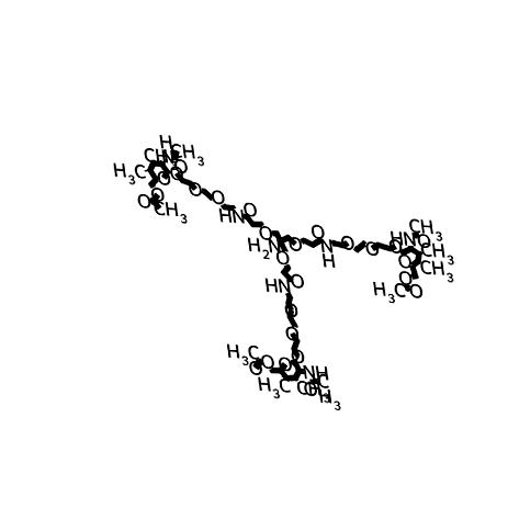 CC(=O)NC1[C@H](OCCOCCOCCNC(=O)CCOCC(N)(COCCC(=O)NCCOCCOCCO[C@@H]2OC(COC(C)=O)[C@H](C)[C@H](C)C2NC(C)=O)COCCC(=O)NCCOCCOCCO[C@@H]2OC(COC(C)=O)[C@H](C)[C@H](C)C2NC(C)=O)OC(COC(C)=O)[C@H](C)[C@@H]1C